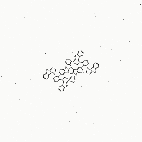 c1cc(-c2cccc3oc4ccccc4c23)c(-c2ccc3c(c2)c2c4c5ccccc5n5c6ccc(-c7c(-c8cccc9oc%10ccccc%10c89)cccc7-c7cccc8oc9ccccc9c78)cc6c(c6c7ccccc7n3c62)c45)c(-c2cccc3oc4ccccc4c23)c1